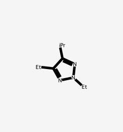 CCc1nn(CC)nc1C(C)C